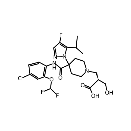 CC(C)c1c(F)cnn1C1(C(=O)Nc2ccc(Cl)cc2OC(F)F)CCN(C[C@@H](CO)C(=O)O)CC1